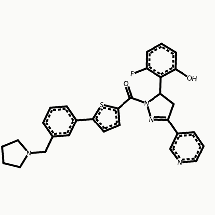 O=C(c1ccc(-c2cccc(CN3CCCC3)c2)s1)N1N=C(c2cccnc2)CC1c1c(O)cccc1F